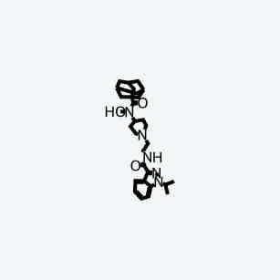 CC(C)n1nc(C(=O)NCCN2CCC(N(O)C(=O)C34CC5CC(CC(C5)C3)C4)CC2)c2ccccc21